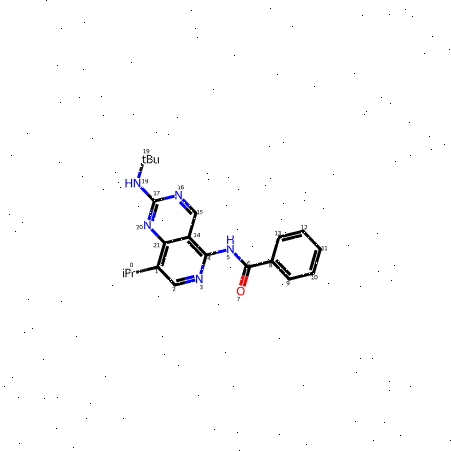 CC(C)c1cnc(NC(=O)c2ccccc2)c2cnc(NC(C)(C)C)nc12